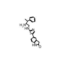 CC(c1ccccc1)C(N)CNc1ncc(-c2ccc3c(c2)CC(=O)N3)s1